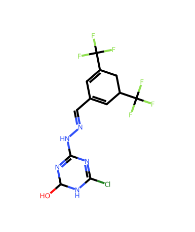 OC1N=C(N/N=C/C2=CC(C(F)(F)F)CC(C(F)(F)F)=C2)N=C(Cl)N1